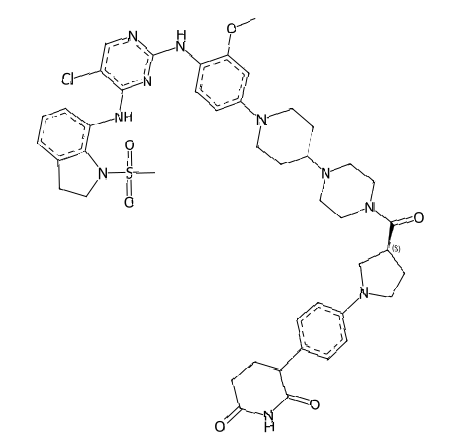 COc1cc(N2CCC(N3CCN(C(=O)[C@H]4CCN(c5ccc(C6CCC(=O)NC6=O)cc5)C4)CC3)CC2)ccc1Nc1ncc(Cl)c(Nc2cccc3c2N(S(C)(=O)=O)CC3)n1